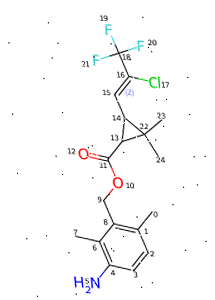 Cc1ccc(N)c(C)c1COC(=O)C1C(/C=C(\Cl)C(F)(F)F)C1(C)C